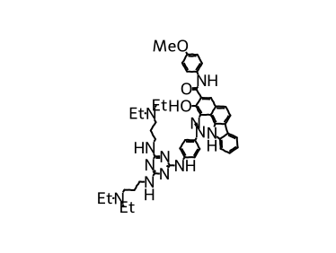 CCN(CC)CCCNc1nc(NCCCN(CC)CC)nc(Nc2ccc(N=Nc3c(O)c(C(=O)Nc4ccc(OC)cc4)cc4ccc5c6ccccc6[nH]c5c34)cc2)n1